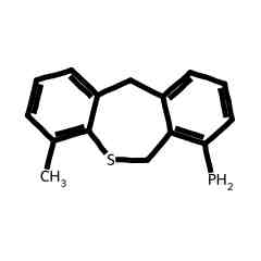 Cc1cccc2c1SCc1c(P)cccc1C2